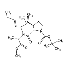 C=C[C@H]1CCN(C(=O)OC(C)(C)C)[C@@H]1C(=O)N(C(C=CCC)CC)[C@@H](C)C(=O)OC